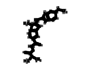 CN(C)C(=O)CNC(=O)c1ccc2c(c1)nc(Nc1nc3ccc(OC(F)(F)F)cc3s1)n2C